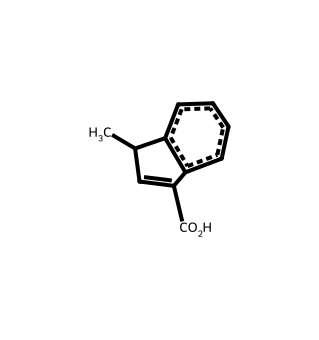 CC1C=C(C(=O)O)c2ccccc21